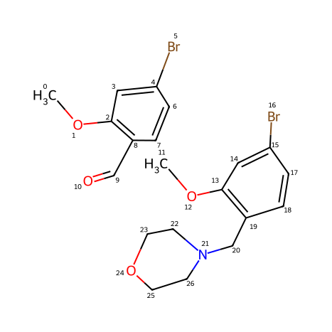 COc1cc(Br)ccc1C=O.COc1cc(Br)ccc1CN1CCOCC1